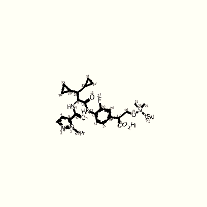 CC(C)n1nccc1C(=O)N[C@H](C(=O)Nc1ccc(C(CO[Si](C)(C)C(C)(C)C)C(=O)O)cc1F)C(C1CC1)C1CC1